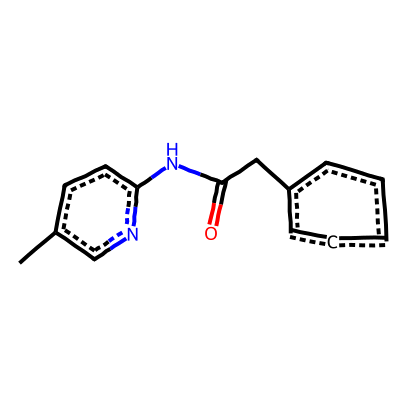 Cc1ccc(NC(=O)Cc2ccccc2)nc1